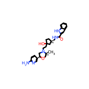 C[C@H]1CO[C@@H](c2ccc(N)nc2)CN1CCC1(O)CC[C@@H](CNC(=O)c2cc3ccccc3[nH]2)C1